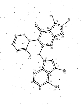 CC1=CC=CCC1n1c(Cn2nc(Br)c3c(N)ncnc32)nc2sc(C)c(C)c2c1=O